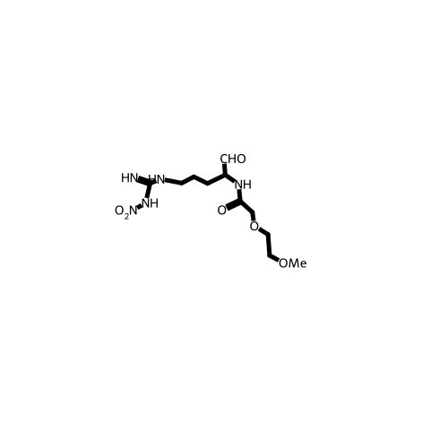 COCCOCC(=O)NC(C=O)CCCNC(=N)N[N+](=O)[O-]